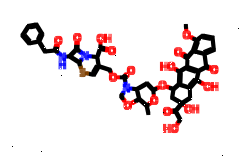 COc1cccc2c1C(=O)c1c(O)c3c(c(O)c1C2=O)CC(O)(C(=O)CO)CC3OC1CC2C(OCN2C(=O)OCC2=CSC3C(NC(=O)Cc4ccccc4)C(=O)N3C2C(=O)O)C(C)O1